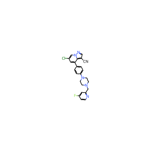 N#Cc1cnn2cc(Cl)cc(-c3ccc(N4CCN(Cc5cc(F)ccn5)CC4)cc3)c12